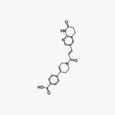 O=C1CCc2cc(C=CC(=O)N3CC=C(c4ccc(C(=O)O)cc4)CC3)cnc2N1